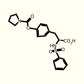 O=C(O)[C@H](Cc1ccc(OC(=O)N2CCCC2)cc1)NS(=O)(=O)c1ccccc1